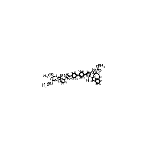 COCC[C@H](NC(=O)OC)C(=O)N1CCC[C@H]1c1ncc(-c2ccc(-c3ccc(-c4cnc([C@@H]5Cc6cccc7c6N5C(=O)[C@@H](NC(=O)OC)CC7)[nH]4)cc3)cc2)[nH]1